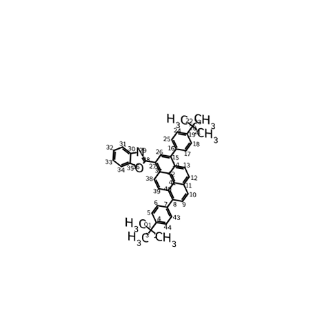 CC(C)(C)c1ccc(-c2ccc3ccc4c(-c5ccc(C(C)(C)C)cc5)cc(-c5nc6ccccc6o5)c5ccc2c3c45)cc1